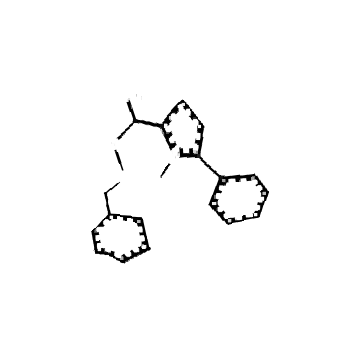 CC(NOCc1ccccc1)c1ccc(-c2ccccc2)n1C